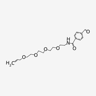 C=CCOCCOCCOCCOCCNC(=O)c1ccc(C=O)cc1